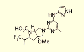 CO[C@@]12C[C@@H](C(C)C(F)(F)F)N(C(=O)O)[C@@H]1CN(c1nc(C)cc(Nc3cc[nH]n3)n1)C2